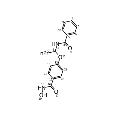 CCCC(NC(=O)c1ccccc1)Oc1ccc(C(=O)NO)cc1